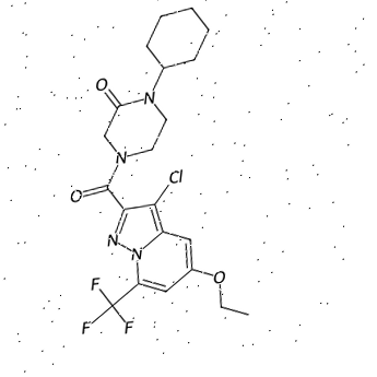 CCOc1cc(C(F)(F)F)n2nc(C(=O)N3CCN(C4CCCCC4)C(=O)C3)c(Cl)c2c1